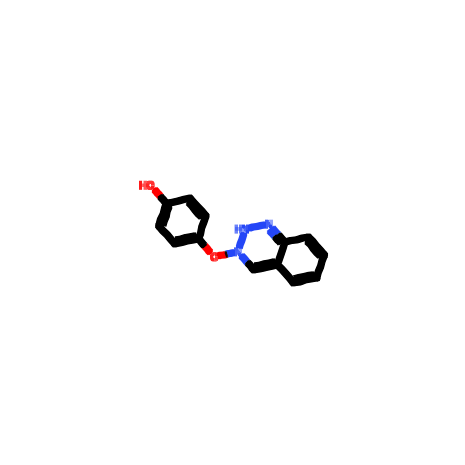 Oc1ccc(ON2C=c3ccccc3=NN2)cc1